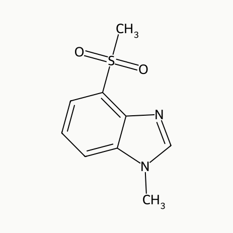 Cn1cnc2c(S(C)(=O)=O)cccc21